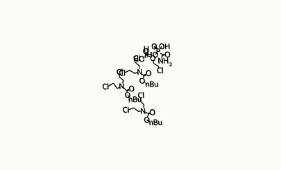 CCCCOC(=O)N(CCCl)CCCl.CCCCOC(=O)N(CCCl)CCCl.CCCCOC(=O)N(CCCl)CCCl.NC(=O)P(=O)(O)O.O=[PH](O)OCCCl